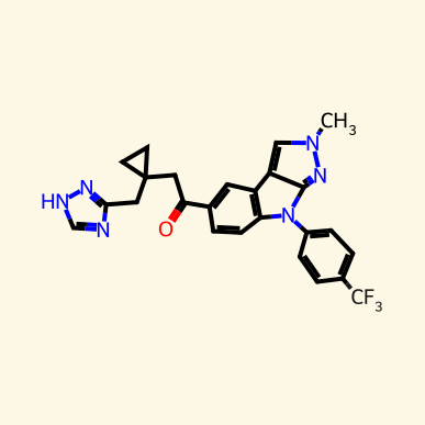 Cn1cc2c3cc(C(=O)CC4(Cc5nc[nH]n5)CC4)ccc3n(-c3ccc(C(F)(F)F)cc3)c2n1